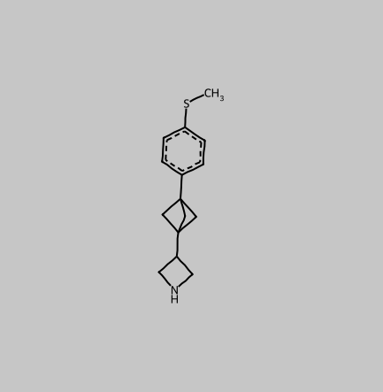 CSc1ccc(C23CC(C4CNC4)(C2)C3)cc1